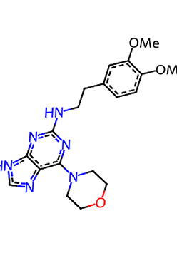 COc1ccc(CCNc2nc(N3CCOCC3)c3nc[nH]c3n2)cc1OC